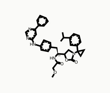 COCC(=O)N[C@@H](Cc1ccc(Nc2cc(-c3ccccc3)ncn2)cc1)C1CN(C2(c3cccc(C(C)C)c3)CC2)C(=O)O1